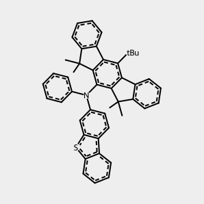 CC(C)(C)c1c2c(c(N(c3ccccc3)c3ccc4c(c3)sc3ccccc34)c3c1-c1ccccc1C3(C)C)C(C)(C)c1ccccc1-2